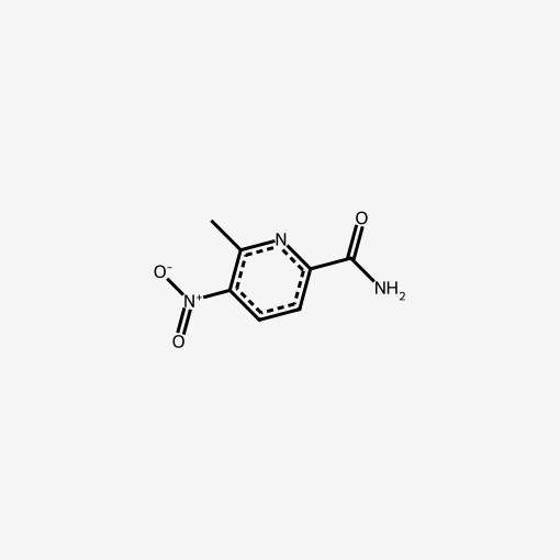 Cc1nc(C(N)=O)ccc1[N+](=O)[O-]